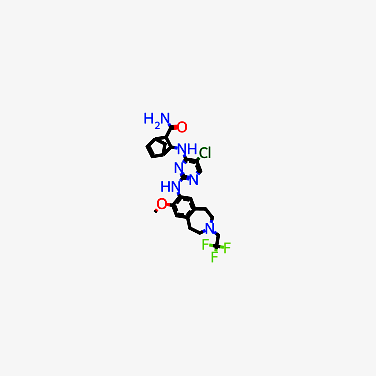 COc1cc2c(cc1Nc1ncc(Cl)c(NC3C4C=CC(C4)C3C(N)=O)n1)CCN(CC(F)(F)F)CC2